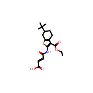 CCOC(=O)c1c(NC(=O)C=CC(=O)O)sc2c1CCC(C(C)(C)C)C2